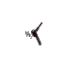 CCCCCCCCCCCCCCCCCCc1cc(CCCCCCCCCCCCCCCCCC)c(C(N)=O)cc1C(N)=O